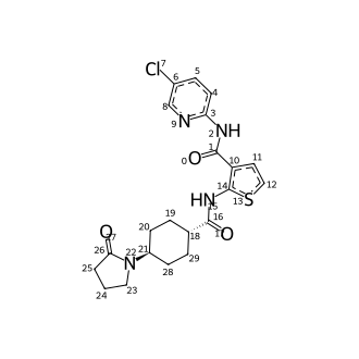 O=C(Nc1ccc(Cl)cn1)c1ccsc1NC(=O)[C@H]1CC[C@H](N2CCCC2=O)CC1